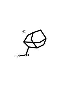 Cl.NNC1C2CC3CC(C2)CC1C3